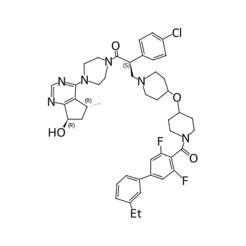 CCc1cccc(-c2cc(F)c(C(=O)N3CCC(OC4CCN(C[C@@H](C(=O)N5CCN(c6ncnc7c6[C@H](C)C[C@H]7O)CC5)c5ccc(Cl)cc5)CC4)CC3)c(F)c2)c1